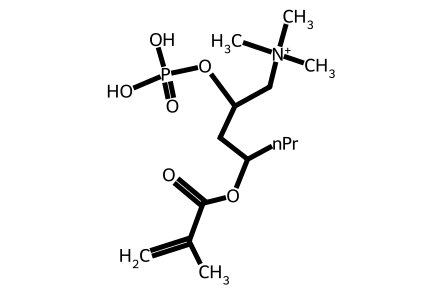 C=C(C)C(=O)OC(CCC)CC(C[N+](C)(C)C)OP(=O)(O)O